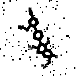 COc1cc2nc(C)c(-c3ccc(-c4ccc(C#N)cc4OC)cc3)c(Cl)c2cc1Cl